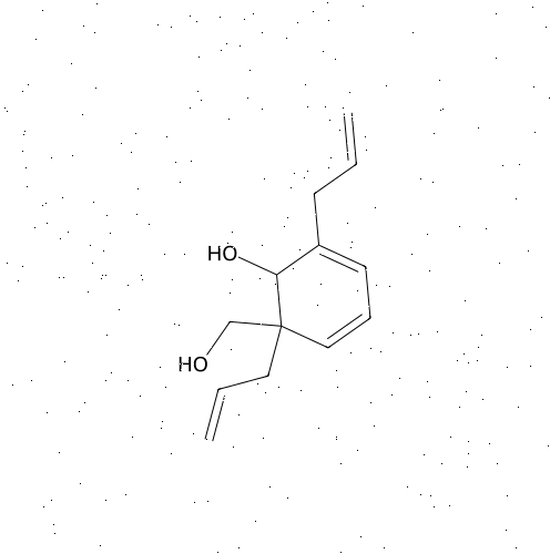 C=CCC1=CC=CC(CO)(CC=C)C1O